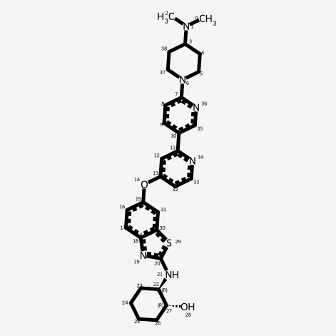 CN(C)C1CCN(c2ccc(-c3cc(Oc4ccc5nc(N[C@@H]6CCCC[C@H]6O)sc5c4)ccn3)cn2)CC1